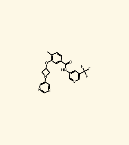 Cc1ccc(C(=O)Nc2cncc(C(F)(F)F)c2)cc1OC1CN(c2cncnc2)C1